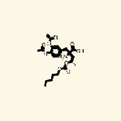 CCCCCOC(=O)O[C@@H](C)CC(N)(Cc1ccc(OC(C)=O)c(OC(C)=O)c1)C(=O)O